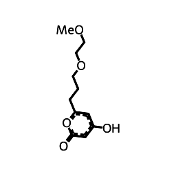 COCCOCCCc1cc(O)cc(=O)o1